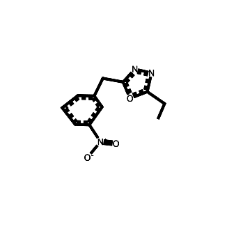 CCc1nnc(Cc2cccc([N+](=O)[O-])c2)o1